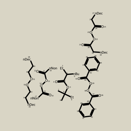 CCCCC(CC)C(=O)OC(C)(C)CC.CCCCCCCCCC(=O)OOC(=O)CCCCCCCCC.CCCCCCCCCCCC(=O)OOC(=O)CCCCCCCCCCC.CCCCCCCCCCCCOOCCCCCCCCCCCC.O=C(OOC(=O)c1ccccc1)c1ccccc1